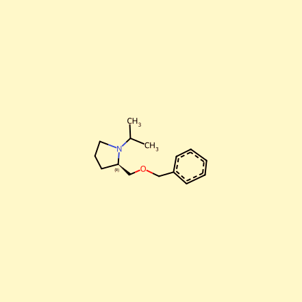 CC(C)N1CCC[C@@H]1COCc1ccccc1